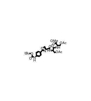 COC(=O)C(COC(C)=O)NC(=O)C(COC(C)=O)NC(=O)c1coc(-c2ccc(NC(=O)OC(C)(C)C)cc2)n1